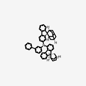 c1ccc(-c2cccc(N(c3ccc4c(c3)[C@]3(c5ccccc5-4)[C@@H]4CC5C[C@@H](C4)C[C@@H]3C5)c3cccc4c3-c3ccccc3[C@@]43C[C@H]4CC[C@@H]3C4)c2)cc1